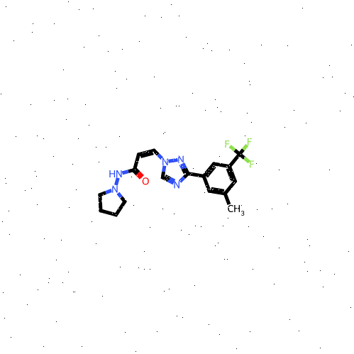 Cc1cc(-c2ncn(/C=C\C(=O)NN3CCCC3)n2)cc(C(F)(F)F)c1